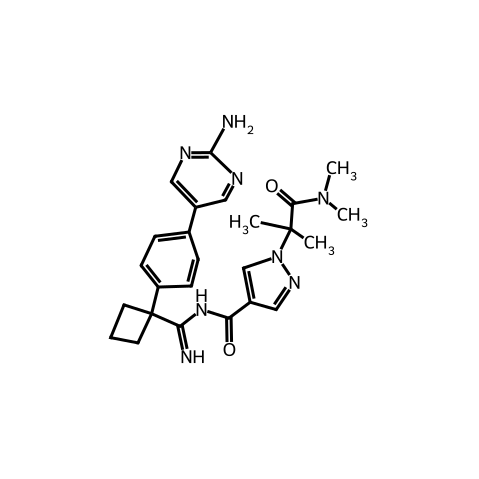 CN(C)C(=O)C(C)(C)n1cc(C(=O)NC(=N)C2(c3ccc(-c4cnc(N)nc4)cc3)CCC2)cn1